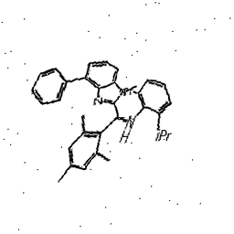 Cc1cc(C)c(C(Nc2c(C(C)C)cccc2C(C)C)c2nc3c(-c4ccccc4)cccc3n2C)c(C)c1